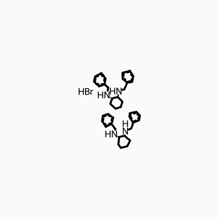 Br.c1ccc(CN[C@H]2CCCC[C@@H]2NCc2ccccc2)cc1.c1ccc(CN[C@H]2CCCC[C@@H]2NCc2ccccc2)cc1